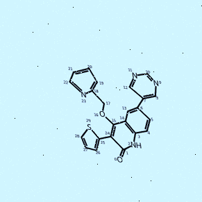 O=c1[nH]c2ccc(-c3cncnc3)cc2c(OCc2ccccn2)c1-c1cccs1